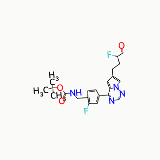 CC(C)(C)OC(=O)NCc1ccc(-c2ncnn3cc(CCC(F)C=O)cc23)cc1F